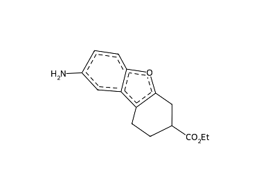 CCOC(=O)C1CCc2c(oc3ccc(N)cc23)C1